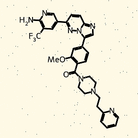 COc1cc(-c2cnc3ccc(-c4cnc(N)c(C(F)(F)F)c4)nn23)ccc1C(=O)N1CCN(CCc2ccccn2)CC1